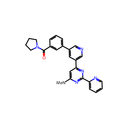 CNc1cc(-c2cncc(-c3cccc(C(=O)N4CCCC4)c3)c2)nc(-c2ccccn2)n1